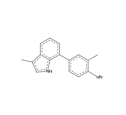 CCCc1ccc(-c2cccc3c(C)c[nH]c23)cc1C